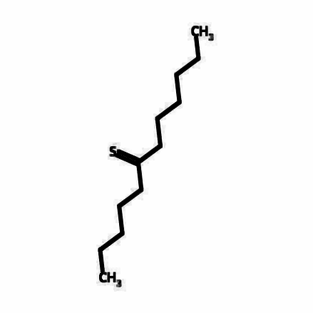 CCCCCCC(=S)CCCCC